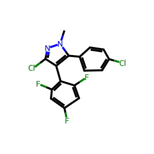 Cn1nc(Cl)c(-c2c(F)cc(F)cc2F)c1-c1ccc(Cl)cc1